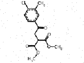 COC(=O)C(CC(=O)c1ccc(Cl)c(C)c1)C(=O)OC